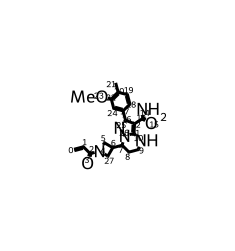 C=CC(=O)N1CC(C2CCNc3c(C(N)=O)c(-c4ccc(C)c(OC)c4)nn32)C1